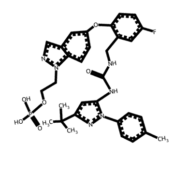 Cc1ccc(-n2nc(C(C)(C)C)cc2NC(=O)NCc2cc(F)ccc2Oc2ccc3c(cnn3CCOP(=O)(O)O)c2)cc1